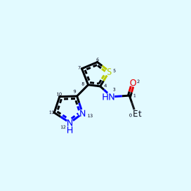 CCC(=O)Nc1sccc1-c1cc[nH]n1